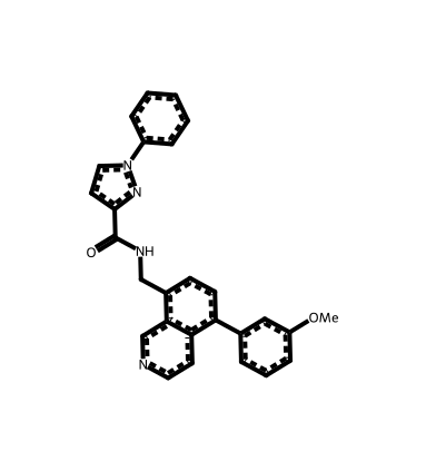 COc1cccc(-c2ccc(CNC(=O)c3ccn(-c4ccccc4)n3)c3cnccc23)c1